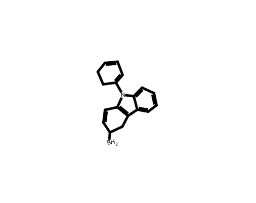 BC1C=Cc2c(c3ccccc3n2C2=CC=CCC2)C1